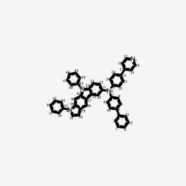 c1ccc(-c2ccc(N(c3ccc(-c4ccncc4)cc3)c3ccc4c(c3)c3cc5ccn(-c6ccccc6)c5cc3n4-c3ccccc3)cc2)cc1